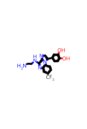 NCCNc1nc2cc(C(F)(F)F)ccc2n2c(-c3ccc(O)c(O)c3)cnc12